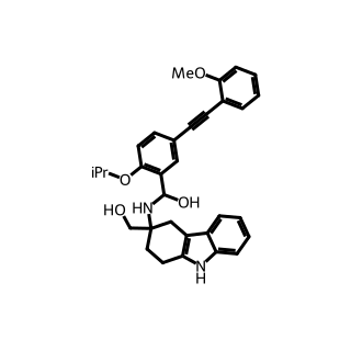 COc1ccccc1C#Cc1ccc(OC(C)C)c(C(O)NC2(CO)CCc3[nH]c4ccccc4c3C2)c1